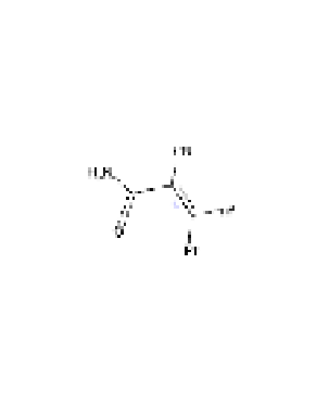 CCC/C(CC)=C(\C#N)C(N)=O